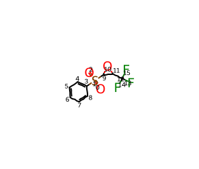 O=S(=O)(c1ccccc1)C1OC1C(F)(F)F